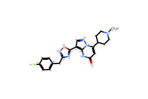 O=C(O)N1CCC(c2cc(=O)[nH]c3c(-c4nc(Cc5ccc(F)cc5)no4)cnn23)CC1